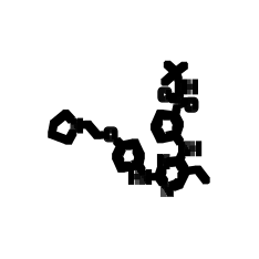 CCc1cnc(Nc2ccc(OCCN3CCCC3)cc2)nc1Nc1cccc(S(=O)(=O)NC(C)(C)C)c1